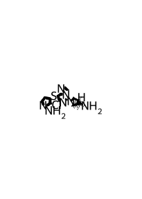 C[C@]12CN(c3ncc(Sc4ccnc(N)c4Cl)c4nccn34)C[C@H]1[C@@H]2N